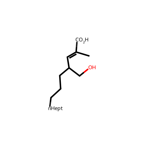 CCCCCCCCCCC(C=C(C)C(=O)O)CO